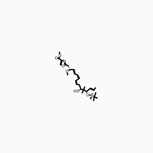 C/C=C/[C@H](O[Si](C)(C)C(C)(C)C)C(C)(C)[C@@H](O)C\C=C/C=C\C=C\[C@@H](Cc1nc(C(=O)OC)co1)OC